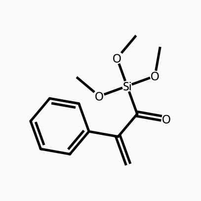 C=C(C(=O)[Si](OC)(OC)OC)c1ccccc1